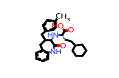 Cc1ccc(CC2Cc3ccccc3NC(=O)[C@@H]2N[C@@H](CCC2CCCCC2)C(=O)O)cc1